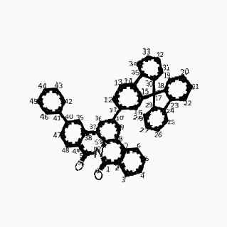 O=c1c2ccccc2c2cc(-c3ccc4c(c3)C3(c5ccccc5-c5ccccc53)c3ccccc3-4)cc3c4cc(-c5ccccc5)ccc4c(=O)n1c23